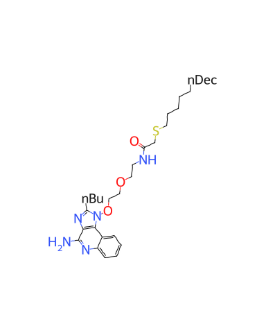 CCCCCCCCCCCCCCCSCC(=O)NCCOCCOn1c(CCCC)nc2c(N)nc3ccccc3c21